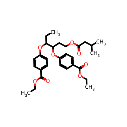 CCOC(=O)c1ccc(OC(CC)C(CCOC(=O)CC(C)C)Oc2ccc(C(=O)OCC)cc2)cc1